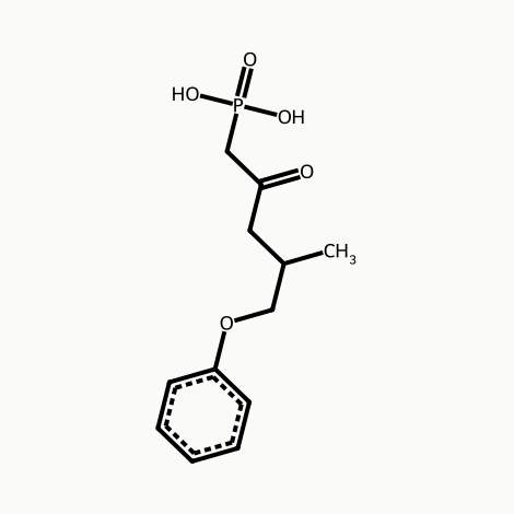 CC(COc1ccccc1)CC(=O)CP(=O)(O)O